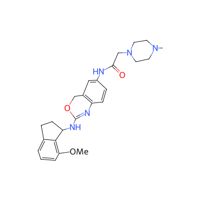 COc1cccc2c1C(NC1=Nc3ccc(NC(=O)CN4CCN(C)CC4)cc3CO1)CC2